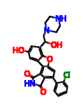 O=C1NC(=O)c2c1c(-c1ccccc1Cl)cc1oc3c(C(O)CN4CCNCC4)cc(O)cc3c21